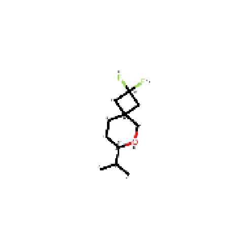 CC(C)[C@H]1CCC2(CO1)CC(F)(F)C2